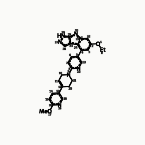 CCOc1cc(-c2ccc(N3CC=C(c4ccc(OC)nc4)CC3)nc2)c2c3cn[nH]c3nn2c1